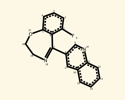 Fc1cccc2c1C(c1cnc3ccccc3c1)=NCCO2